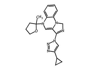 CC1(N2C=C3C(n4cc(C5CC5)nn4)=NCN3c3ccccc32)CCCO1